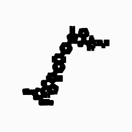 COC(=O)N[C@@H](COC(C)(C)C)C(=O)N1CCC[C@H]1c1ncc(-c2ccc3nc(-c4ccc(-c5c[nH]c([C@@H]6CCCN6C(=O)[C@H](C(C)C)N(C)C(=O)O)n5)cc4)cnc3c2)[nH]1